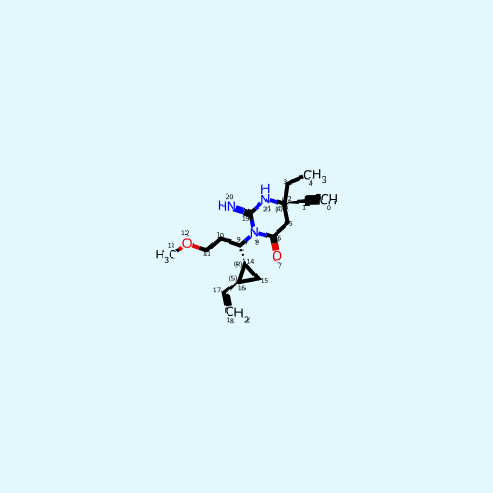 C#C[C@@]1(CC)CC(=O)N(C(CCOC)[C@@H]2C[C@H]2C=C)C(=N)N1